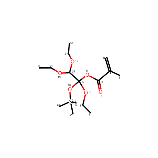 C=C(C)C(=O)OC(OCC)(O[Si](C)(C)C)C(OCC)OCC